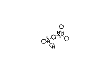 c1ccc(-c2nc(-c3ccccc3)nc(-c3ccc(-c4nc5ccccc5n4-c4ccncc4)cc3)n2)cc1